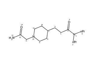 CCCN(CCC)C(=O)CCC1CCN(CC(N)=O)CC1